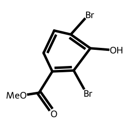 COC(=O)c1ccc(Br)c(O)c1Br